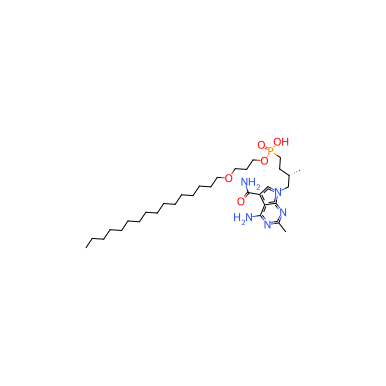 CCCCCCCCCCCCCCCCOCCCOP(=O)(O)CC[C@H](C)Cn1cc(C(N)=O)c2c(N)nc(C)nc21